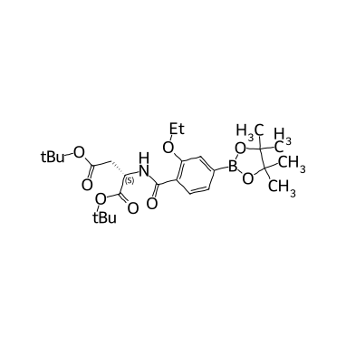 CCOc1cc(B2OC(C)(C)C(C)(C)O2)ccc1C(=O)N[C@@H](CC(=O)OC(C)(C)C)C(=O)OC(C)(C)C